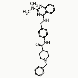 CN(C)c1nc(NCc2ccc(NC(=O)C3CCN(Cc4ccccc4)CC3)cc2)c2ccccc2n1